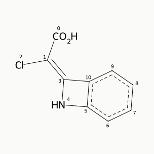 O=C(O)C(Cl)=C1Nc2ccccc21